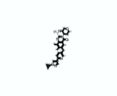 Cc1c(Cc2ccc(-c3cnn(C4CC4)c3)nc2)cc2c(=O)n([C@H]3CCOC[C@@H]3N)cnc2c1C